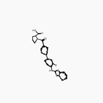 O=C(O)C1CCCC1C(=O)c1ccc(-c2ccc(Nc3nc4ccccc4s3)c(F)c2)cc1